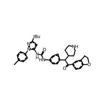 Cc1ccc(-n2nc(C(C)(C)C)cc2NC(=O)Nc2ccc(C(C(=O)c3ccc4c(c3)CCO4)C3CCNCC3)cc2)cc1